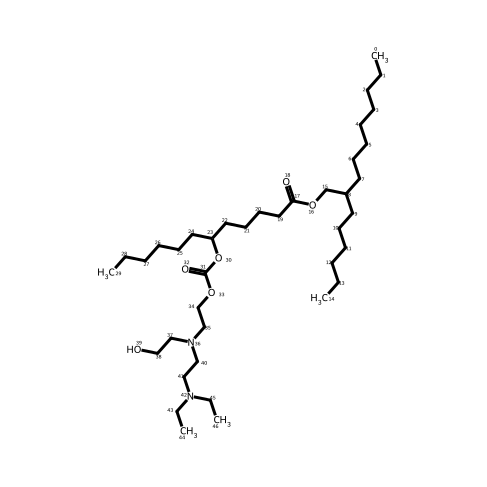 CCCCCCCCC(CCCCCC)COC(=O)CCCCC(CCCCCC)OC(=O)OCCN(CCO)CCN(CC)CC